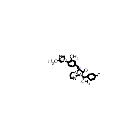 Cc1cn(-c2ccc(/C=c3/c(=O)n([C@@H](C)c4ccc(F)cc4)c4n3CCCN=4)cc2C)cn1